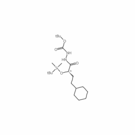 CC(C)(C)OC(=O)NNC(=O)[C@@H](CCC1CCCCC1)O[Si](C)(C)C(C)(C)C